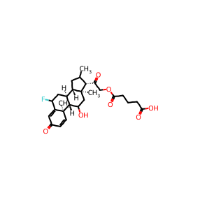 CC1C[C@H]2[C@@H]3CC(F)C4=CC(=O)C=C[C@]4(C)[C@H]3C(O)C[C@]2(C)[C@H]1C(=O)COC(=O)CCCC(=O)O